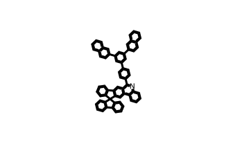 c1ccc2c(c1)-c1ccccc1C21c2ccccc2-c2cc3c(-c4ccc(-c5cc(-c6ccc7ccccc7c6)cc(-c6ccc7ccccc7c6)c5)cc4)nc4ccccc4c3cc21